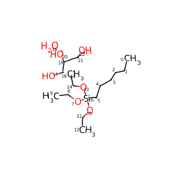 CCCCCC[Si](OCC)(OCC)OCC.O.OCC(O)CO